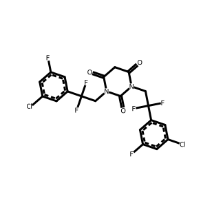 O=C1CC(=O)N(CC(F)(F)c2cc(F)cc(Cl)c2)C(=O)N1CC(F)(F)c1cc(F)cc(Cl)c1